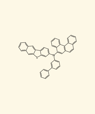 c1ccc(-c2cccc(N(c3ccc4c(c3)sc3cc5ccccc5cc34)c3cc4ccc5ccccc5c4c4ccccc34)c2)cc1